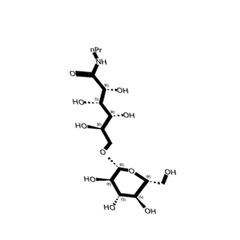 CCCNC(=O)[C@H](O)[C@@H](O)[C@H](O)[C@H](O)CO[C@@H]1O[C@H](CO)[C@@H](O)[C@H](O)[C@H]1O